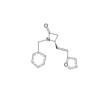 O=C1C[C@@H](C=Cc2ccco2)N1Cc1ccccc1